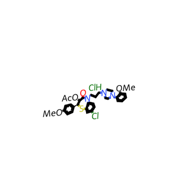 COc1ccc([C@@H]2Sc3cc(Cl)ccc3N(CCCN3CCN(c4ccccc4OC)CC3)C(=O)C2OC(C)=O)cc1.Cl